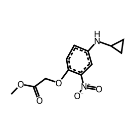 COC(=O)COc1ccc(NC2CC2)cc1[N+](=O)[O-]